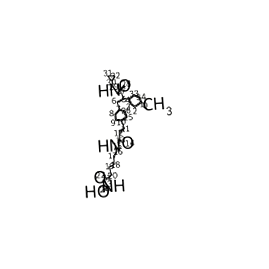 Cc1ccc(/C(=C\c2ccc(/C=C/C(=O)NCCCCCC(=O)NO)cc2)C(=O)NC2CC2)cc1